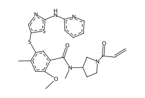 C=CC(=O)N1CCC(N(C)C(=O)c2cc(Sc3cnc(Nc4ccccn4)s3)c(C)cc2OC)C1